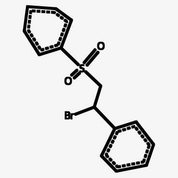 O=S(=O)(CC(Br)c1ccccc1)c1ccccc1